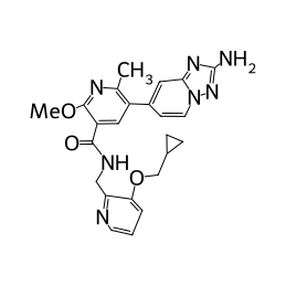 COc1nc(C)c(-c2ccn3nc(N)nc3c2)cc1C(=O)NCc1ncccc1OCC1CC1